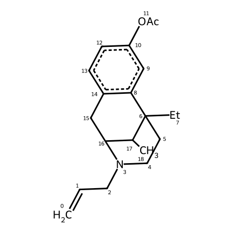 C=CCN1CCC2(CC)c3cc(OC(C)=O)ccc3CC1C2C